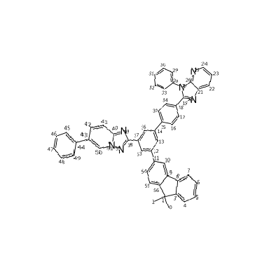 CC1(C)c2ccccc2-c2cc(-c3cc(-c4ccc(-c5nc6cccnc6n5-c5ccccc5)cc4)cc(-c4nc5ccc(-c6ccccc6)cn5n4)c3)ccc21